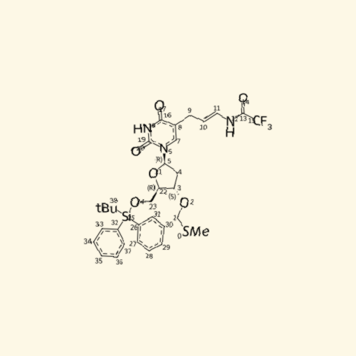 CSCO[C@H]1C[C@H](n2cc(CC=CNC(=O)C(F)(F)F)c(=O)[nH]c2=O)O[C@@H]1CO[Si](c1ccccc1)(c1ccccc1)C(C)(C)C